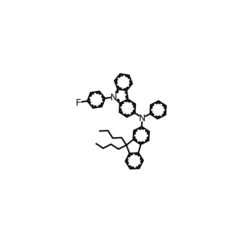 CCCCC1(CCCC)c2ccccc2-c2ccc(N(c3ccccc3)c3ccc4c(c3)c3ccccc3n4-c3ccc(F)cc3)cc21